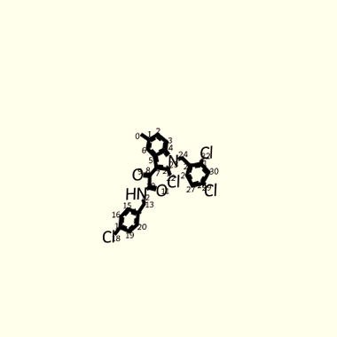 Cc1ccc2c(c1)c(C(=O)C(=O)NCc1ccc(Cl)cc1)c(Cl)n2Cc1ccc(Cl)cc1Cl